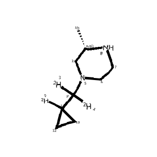 [2H]C1(C([2H])([2H])N2CCN[C@@H](C)C2)CC1